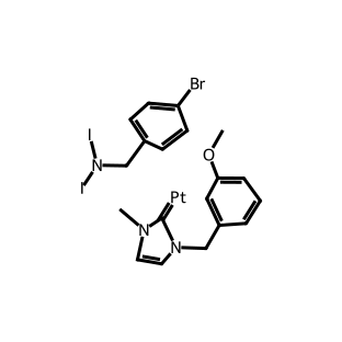 Brc1ccc(CN(I)I)cc1.COc1cccc(Cn2ccn(C)[c]2=[Pt])c1